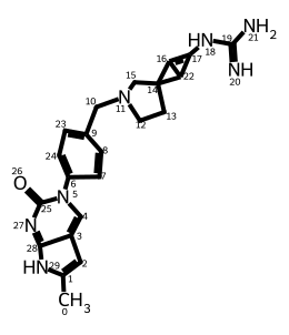 Cc1cc2cn(-c3ccc(CN4CCC5(C4)C4=C(NC(=N)N)C45)cc3)c(=O)nc2[nH]1